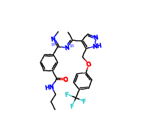 CCCNC(=O)c1cccc(C(=N/C)/N=C(\C)c2cn[nH]c2COc2ccc(C(F)(F)F)cc2)c1